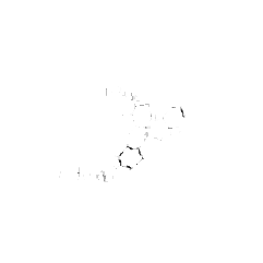 CCCCCCOc1ccc(C(CC2CC=CCC2)C2CCC(CCCC)CC2)cc1